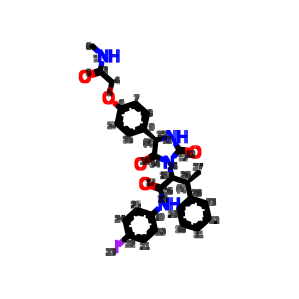 CNC(=O)COc1ccc([C@H]2NC(=O)N(C(C(=O)Nc3ccc(I)cc3)[C@@H](C)c3ccccc3)C2=O)cc1